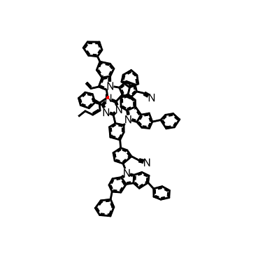 C=Cc1c(CC(C)/C=C\CC)n(-c2ccc(C#N)cc2-c2nc(-c3ccccc3)nc(-c3ccc(-c4ccc(-n5c6ccc(-c7ccccc7)cc6c6cc(-c7ccccc7)ccc65)c(C#N)c4)cc3-n3c4ccc(-c5ccccc5)cc4c4cc(-c5ccccc5)ccc43)n2)c2ccc(-c3ccccc3)cc12